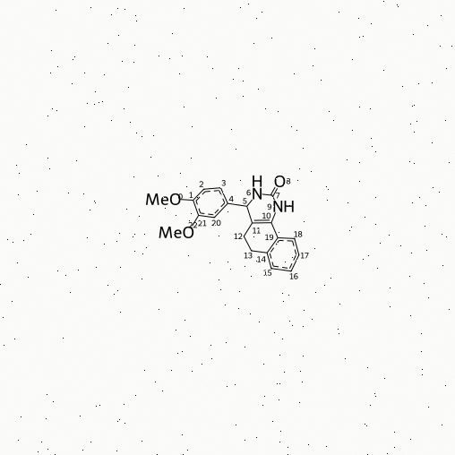 COc1ccc(C2NC(=O)NC3=C2CCc2ccccc23)cc1OC